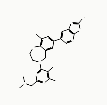 CCc1nc(CN(C)C)nc(N2CCOc3c(C)cc(-c4cnc5sc(N)nc5c4)cc3C2)c1C(C)C